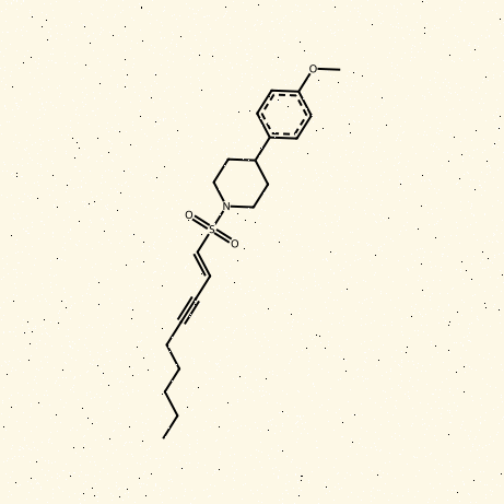 CCCCCC#C/C=C/S(=O)(=O)N1CCC(c2ccc(OC)cc2)CC1